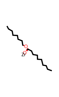 CCCCCCCCCC(=O)OCCCCCCCC.[Zr]